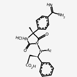 CC(=O)N([C@H](CC(=O)O)c1ccccc1)N1C(=O)N[C@](C)(c2ccc(C(=N)N)cc2)C1=O.Cl